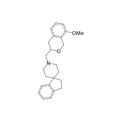 COc1cccc2c1COC(CN1CCC3(CCc4ccccc43)CC1)C2